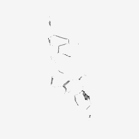 N#Cc1ccc(C(=N)c2cc(NC3CCCc4cc(C#N)ccc43)ccc2N)cc1